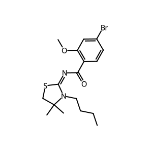 CCCCN1C(=NC(=O)c2ccc(Br)cc2OC)SCC1(C)C